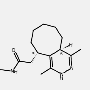 CNC(=O)C[C@@H]1CCCCC[C@H]2C(C)=NNC(C)=C12